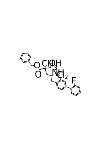 CC(CO)(C[C@@H](N)Cc1ccc(-c2ccccc2F)cc1Cl)C(=O)OCc1ccccc1